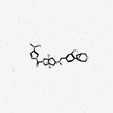 CC(=O)N(C)c1cnn(C(=O)N2C[C@H]3C[C@@H](N(C)Cc4ccc(N5C6CCC5COC6)c(C(F)(F)F)c4)C[C@H]3C2)c1